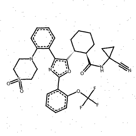 N#CC1(NC(=O)[C@@H]2CCCC[C@H]2c2oc(-c3ccccc3OC(F)(F)F)nc2-c2ccccc2N2CCS(=O)(=O)CC2)CC1